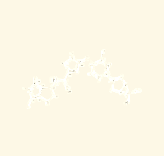 Cc1nc(N2CC3C(C2)C3(F)F)ccc1Cn1cc(C(=O)NC2CCc3c(C)n[nH]c32)cn1